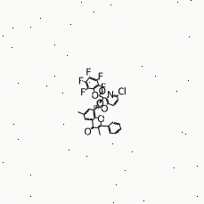 Cc1cc([C@@H](C)Oc2ccc(Cl)nc2S(=O)(=O)Oc2c(F)c(F)c(F)c(F)c2F)c2oc(-c3ccccc3)c(C)c(=O)c2c1